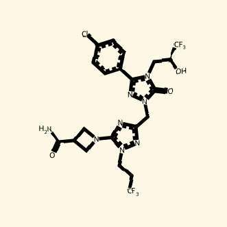 NC(=O)C1CN(c2nc(Cn3nc(-c4ccc(Cl)cc4)n(C[C@H](O)C(F)(F)F)c3=O)nn2CCC(F)(F)F)C1